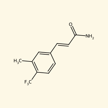 Cc1cc(/C=C/C(N)=O)ccc1C(F)(F)F